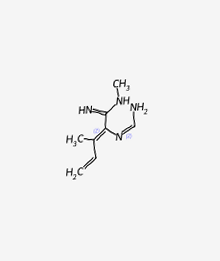 C=C/C(C)=C(\N=C/N)C(=N)NC